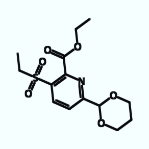 CCOC(=O)c1nc(C2OCCCO2)ccc1S(=O)(=O)CC